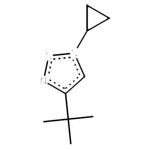 CC(C)(C)c1cn(C2CC2)nn1